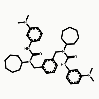 CN(C)c1cccc(NC(=O)N(Cc2cccc(CN(C(=O)Nc3cccc(N(C)C)c3)C3CCCCCC3)c2)C2CCCCCC2)c1